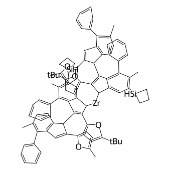 Cc1ccc(C2=Cc3c(ccc(C)c3-c3ccccc3)C2C2=C(c3ccc(C(C)(C)C)o3)[CH]([Zr][CH]3C(c4ccc(C(C)(C)C)o4)=C(C4C(c5ccc(C)o5)=Cc5c4ccc(C)c5-c4ccccc4)c4c3cc([SiH]3CCC3)c(C)c4-c3ccccc3)c3cc([SiH]4CCC4)c(C)c(-c4ccccc4)c32)o1